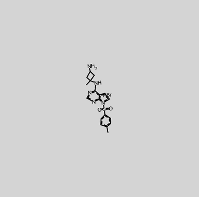 Br.Cc1ccc(S(=O)(=O)n2ccc3c(NC4(C)CC(N)C4)ncnc32)cc1